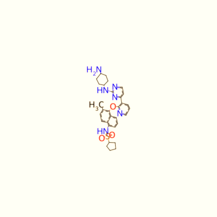 Cc1ccc2c(NS(=O)(=O)C3CCCC3)cccc2c1Oc1ncccc1-c1ccnc(N[C@H]2CC[C@H](N)CC2)n1